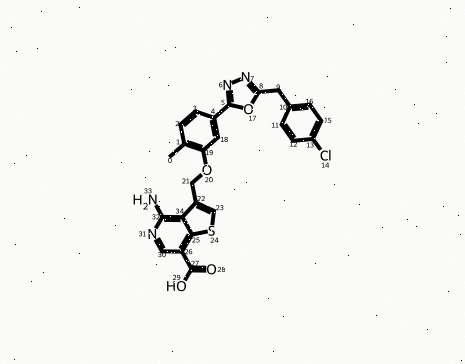 Cc1ccc(-c2nnc(Cc3ccc(Cl)cc3)o2)cc1OCc1csc2c(C(=O)O)cnc(N)c12